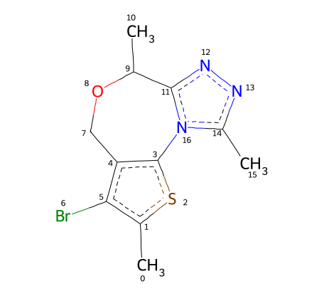 Cc1sc2c(c1Br)COC(C)c1nnc(C)n1-2